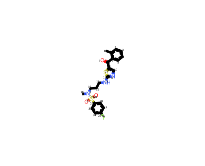 Cc1ccccc1C(=O)c1cnc(NCCCN(C)S(=O)(=O)c2ccc(F)cc2)s1